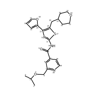 CC(C)OCc1cc(C(=O)Nc2nc(-c3ccco3)c(CC3CCOCC3)s2)ccn1